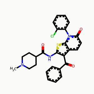 CN1CCC(C(=O)Nc2sc3c(ccc(=O)n3-c3ccccc3Cl)c2C(=O)c2ccccc2)CC1